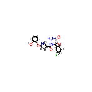 COc1ccccc1Oc1ccc(C(=O)Nc2c(C(N)=O)oc3ccc(F)cc23)cn1